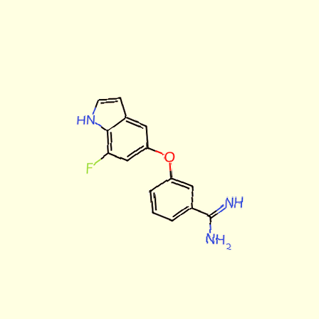 N=C(N)c1cccc(Oc2cc(F)c3[nH]ccc3c2)c1